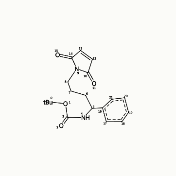 CC(C)(C)OC(=O)NC(CCCN1C(=O)C=CC1=O)c1ccccc1